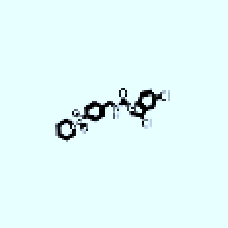 O=C(NCc1ccc(S(=O)(=O)N2CCCCC2)cc1)n1cc(Cl)c2cc(Cl)ccc21